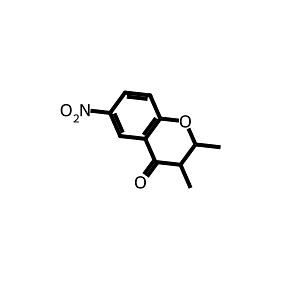 CC1Oc2ccc([N+](=O)[O-])cc2C(=O)C1C